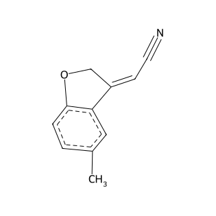 Cc1ccc2c(c1)/C(=C/C#N)CO2